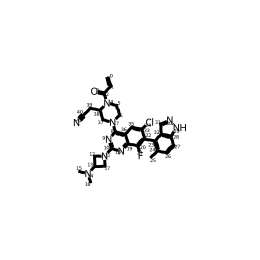 C=CC(=O)N1CCN(c2nc(N3CC(N(C)C)C3)nc3c(F)c(-c4c(C)ccc5[nH]ncc45)c(Cl)cc23)CC1CC#N